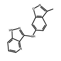 Cc1noc2cc(Nc3n[nH]c4cccnc34)ccc12